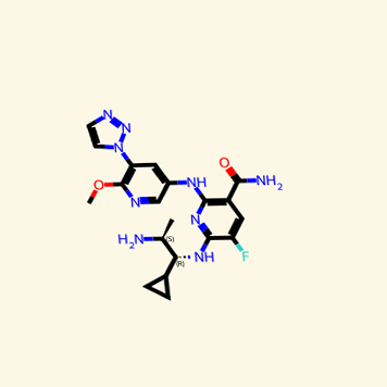 COc1ncc(Nc2nc(N[C@H](C3CC3)[C@H](C)N)c(F)cc2C(N)=O)cc1-n1ccnn1